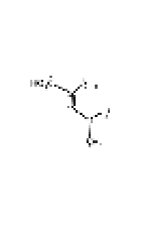 CC(O)C=C(N)C(=O)O